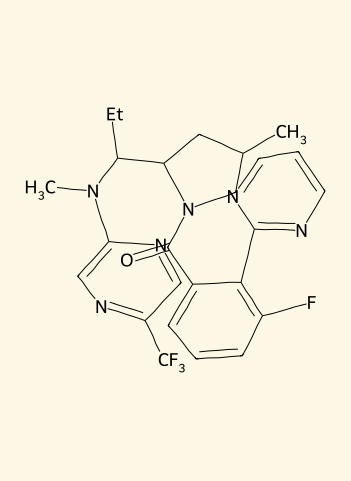 CCC(C1CC(C)CN1C(=O)c1cccc(F)c1-c1ncccn1)N(C)c1cnc(C(F)(F)F)cn1